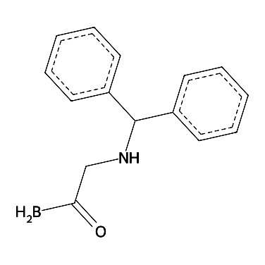 BC(=O)CNC(c1ccccc1)c1ccccc1